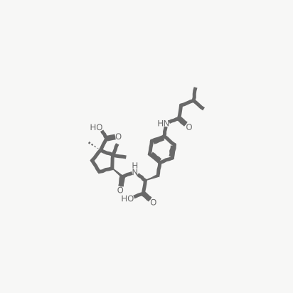 CC(C)CC(=O)Nc1ccc(C[C@H](NC(=O)[C@H]2CC[C@@](C)(C(=O)O)C2(C)C)C(=O)O)cc1